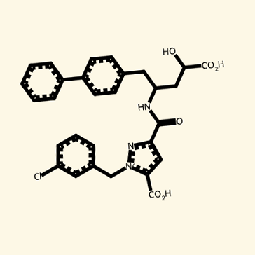 O=C(NC(Cc1ccc(-c2ccccc2)cc1)CC(O)C(=O)O)c1cc(C(=O)O)n(Cc2cccc(Cl)c2)n1